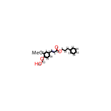 COc1cc(/C=C/C(=O)OCCCc2ccccc2)ccc1OCO